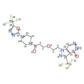 O=C(CCOCCn1nc(C(F)(F)F)c2c(=O)[nH]ncc21)N1CCN(c2nnc(C(F)(F)F)o2)CC1